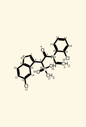 C=CN(C(=O)C(c1csc2ccc(Cl)cc12)P(C)(=O)O)c1ccccc1Cl